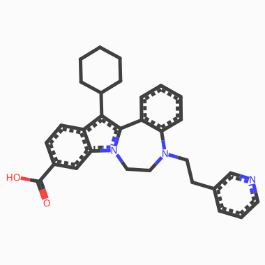 O=C(O)c1ccc2c(C3CCCCC3)c3n(c2c1)CCN(CCc1cccnc1)c1ccccc1-3